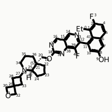 CCc1c(F)ccc2cc(O)cc(-c3ncc4cnc(OC[C@]56CCC[C@H]5N(C5CC7(COC7)C5)CCC6)nc4c3F)c12